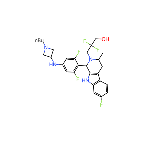 CCCCN1CC(Nc2cc(F)c(C3c4[nH]c5cc(F)ccc5c4CC(C)N3CC(F)(F)CO)c(F)c2)C1